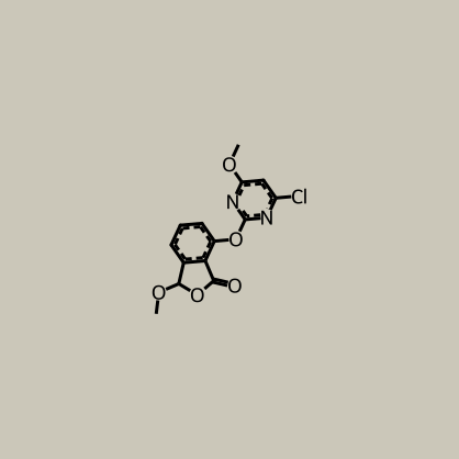 COc1cc(Cl)nc(Oc2cccc3c2C(=O)OC3OC)n1